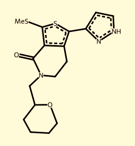 CSc1sc(-c2cc[nH]n2)c2c1C(=O)N(CC1CCCCO1)CC2